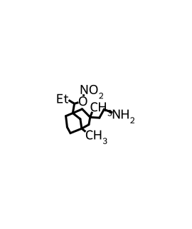 CCC(O[N+](=O)[O-])C12CCCC(C)(CC(C)(CCN)C1)C2